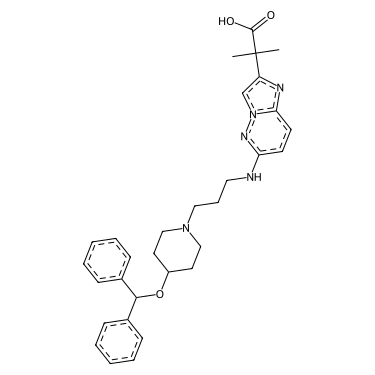 CC(C)(C(=O)O)c1cn2nc(NCCCN3CCC(OC(c4ccccc4)c4ccccc4)CC3)ccc2n1